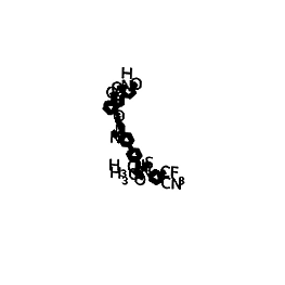 CC1(C)C(=O)N(c2ccc(C#N)c(C(F)(F)F)c2)C(=S)N1c1ccc(-c2ccc3c(c2)ncn3CCOc2cccc3c2CN(C2CCC(=O)NC2=O)C3=O)cc1